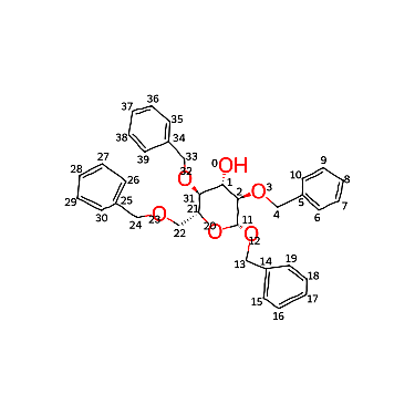 O[C@@H]1[C@@H](OCc2ccccc2)[C@H](OCc2ccccc2)O[C@H](COCc2ccccc2)[C@H]1OCc1ccccc1